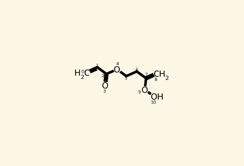 C=CC(=O)OCCC(=C)OO